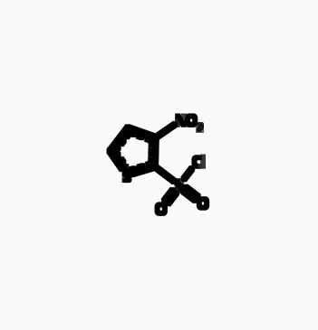 O=[N+]([O-])c1ccsc1S(=O)(=O)Cl